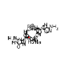 Nc1nc2c(ncn2[C@@H]2O[C@@H]3COS(=O)(=O)N[C@H]4C[C@H](n5cnc6c(N)ncnc65)O[C@@H]4CO[P@@](=O)(S)O[C@@H]2C3)c(=O)[nH]1.[Na]